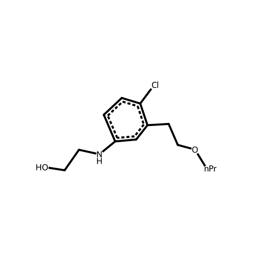 CCCOCCc1cc(NCCO)ccc1Cl